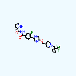 O=C(NC(=O)[C@@H]1CCCN1)c1ccc(-c2cnc(OCC3CCN(CC4(C(F)(F)F)CCC4)CC3)cn2)c(F)c1